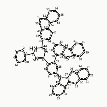 c1ccc(C2N=C(c3ccc(-n4c5ccccc5c5cc6ccccc6cc54)cc3-c3cccc4c3sc3ccccc34)N=C(c3ccc4c(ccc5ccccc54)c3)N2)cc1